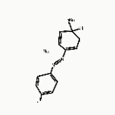 [2H]c1ccc(N=NC2=CCC([2H])(CCCC)C=C2)cc1.[Na]